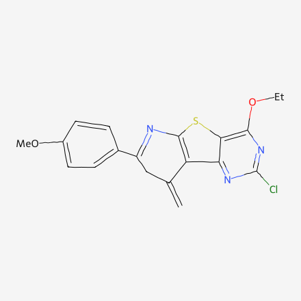 C=C1CC(c2ccc(OC)cc2)=Nc2sc3c(OCC)nc(Cl)nc3c21